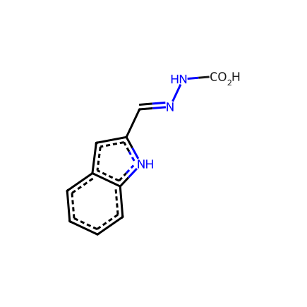 O=C(O)NN=Cc1cc2ccccc2[nH]1